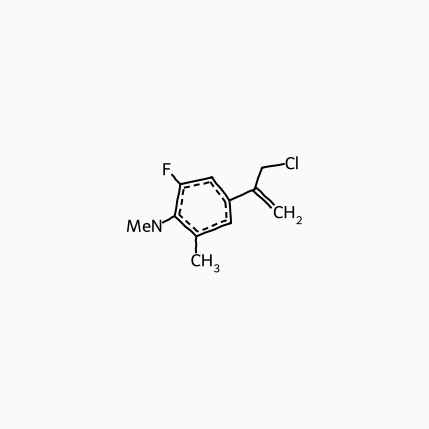 C=C(CCl)c1cc(C)c(NC)c(F)c1